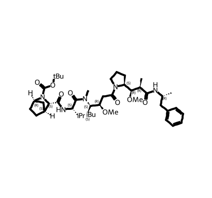 CC[C@H](C)[C@@H]([C@@H](CC(=O)N1CCC[C@H]1[C@H](OC)[C@@H](C)C(=O)N[C@H](C)Cc1ccccc1)OC)N(C)C(=O)[C@@H](NC(=O)[C@@H]1[C@H]2CC[C@H](C2)N1C(=O)OC(C)(C)C)C(C)C